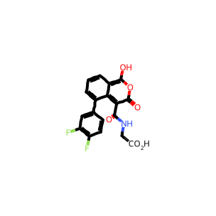 O=C(O)CNC(=O)c1c(=O)oc(O)c2cccc(-c3ccc(F)c(F)c3)c12